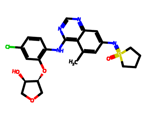 Cc1cc(N=S2(=O)CCCC2)cc2ncnc(Nc3ccc(Cl)cc3O[C@@H]3COC[C@H]3O)c12